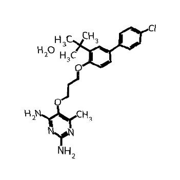 Cc1nc(N)nc(N)c1OCCCOc1ccc(-c2ccc(Cl)cc2)cc1C(C)(C)C.O